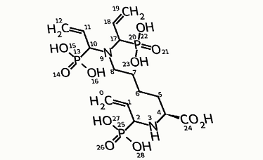 C=CC(N[C@@H](CCCCN(C(C=C)P(=O)(O)O)C(C=C)P(=O)(O)O)C(=O)O)P(=O)(O)O